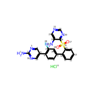 Cl.Nc1ncc(-c2ccc(-c3ccccc3S(=O)(=O)c3ncncc3N)cc2F)cn1